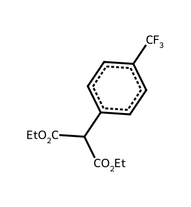 CCOC(=O)C(C(=O)OCC)c1ccc(C(F)(F)F)cc1